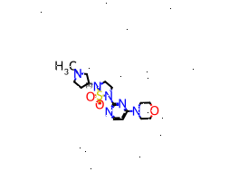 CN1CC[C@@H](N2CCN(c3nccc(N4CCOCC4)n3)S2(=O)=O)C1